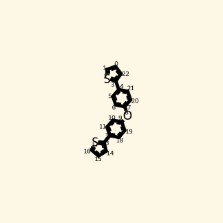 c1csc(-c2ccc(Oc3ccc(-c4cccs4)cc3)cc2)c1